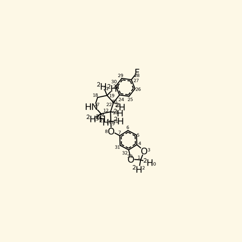 [2H]C1([2H])Oc2ccc(OC([2H])([2H])C3([2H])C([2H])([2H])NCC([2H])([2H])[C@@]3([2H])c3ccc(F)cc3)cc2O1